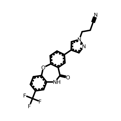 N#CCCn1cc(-c2ccc3c(c2)C(=O)Nc2cc(C(F)(F)F)ccc2O3)cn1